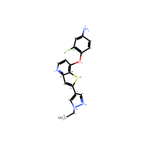 Nc1ccc(Oc2ccnc3cc(-c4cnn(CC(=O)O)c4)sc23)c(F)c1